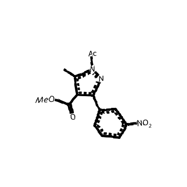 COC(=O)c1c(-c2cccc([N+](=O)[O-])c2)nn(C(C)=O)c1C